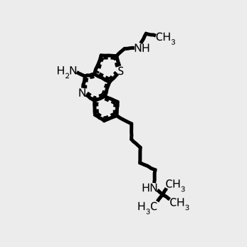 CCNCc1cc2c(N)nc3ccc(CCCCCNC(C)(C)C)cc3c2s1